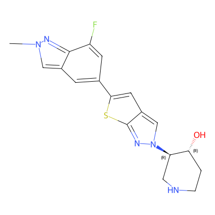 Cn1cc2cc(-c3cc4cn([C@@H]5CNCC[C@H]5O)nc4s3)cc(F)c2n1